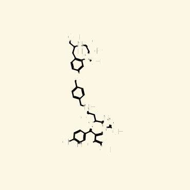 Cc1sc2c(c1C)C(c1ccc(Cl)cc1)=NC(CC(=O)NCc1ccc(COc3ccc4c(c3)N(C)[C@@H](C(C)C)C(=O)NC(CO)C4)cc1)c1nnc(C)n1-2